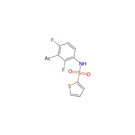 CC(=O)c1c(F)ccc(NS(=O)(=O)c2cccs2)c1F